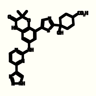 CC1(C)Oc2c(cc(Nc3nccc(-c4c[nH]nn4)n3)cc2-c2cnc(C3(O)CCC(C(=O)O)CC3)s2)NC1=O